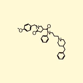 COc1ccc(CN2CC(C(=O)N(CCCN3CCC(Cc4ccccc4)CC3)c3ccccc3)CC2=O)cc1